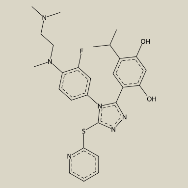 CC(C)c1cc(-c2nnc(Sc3ccccn3)n2-c2ccc(N(C)CCN(C)C)c(F)c2)c(O)cc1O